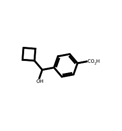 O=C(O)c1ccc(C(O)C2CCC2)cc1